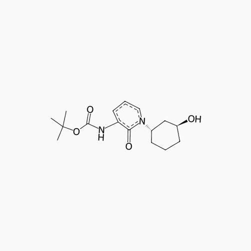 CC(C)(C)OC(=O)Nc1cccn([C@H]2CCC[C@H](O)C2)c1=O